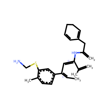 C=C(CC1=CCCC=C1)N/C(=C/C(=C\C)c1ccc(C)c(SCN)c1)C(=C)C